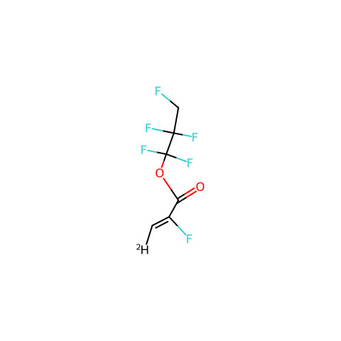 [2H]/C=C(\F)C(=O)OC(F)(F)C(F)(F)CF